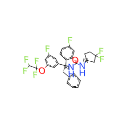 O=C(N[C@H]1CCC(F)(F)C1)N[C@](Cc1ccccc1)(c1ccc(F)cc1)c1cc(F)cc(OC(F)(F)C(F)F)c1